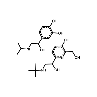 CC(C)(C)NCC(O)c1ccc(O)c(CO)n1.CC(C)NCC(O)c1ccc(O)c(O)c1